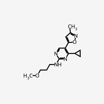 COCCCNc1ncc(-c2cc(C)no2)c(C2CC2)n1